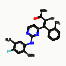 COC(=O)/C(=C(\c1ccnc(Nc2cc([N+](=O)[O-])c(F)cc2OC)n1)c1ccccc1C)C(C)C